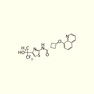 CC(O)(c1csc(NC(=O)[C@H]2C[C@H](Oc3cccc4cccnc34)C2)n1)C(F)(F)F